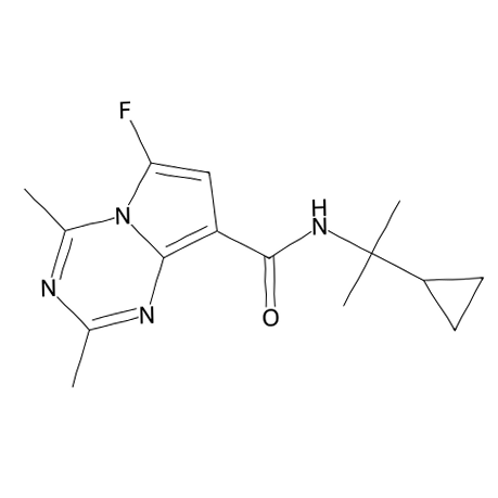 Cc1nc(C)n2c(F)cc(C(=O)NC(C)(C)C3CC3)c2n1